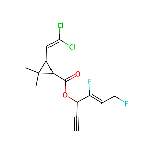 C#CC(OC(=O)C1C(C=C(Cl)Cl)C1(C)C)/C(F)=C/CF